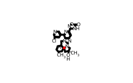 CC1CCC(Cn2c(N3C[C@@](C)(O)C[C@H]3C(C)C)nc3cc(-c4noc(=O)[nH]4)nc(-c4cncc(Cl)c4)c32)CC1